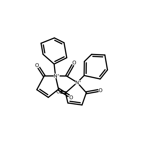 O=C1C=CC(=O)[N+]1(C(=O)[N+]1(c2ccccc2)C(=O)C=CC1=O)c1ccccc1